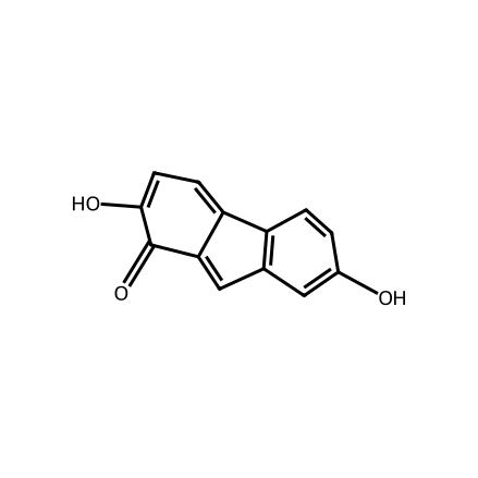 O=C1C(O)=CC=C2C1=Cc1cc(O)ccc12